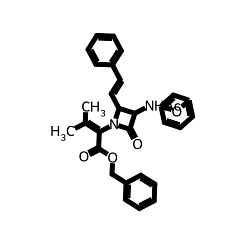 CC(=O)NC1C(=O)N(C(C(=O)OCc2ccccc2)=C(C)C)C1C=Cc1ccccc1.c1cc2cc(c1)O2